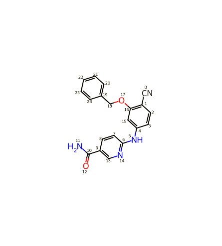 N#Cc1ccc(Nc2ccc(C(N)=O)cn2)cc1OCc1ccccc1